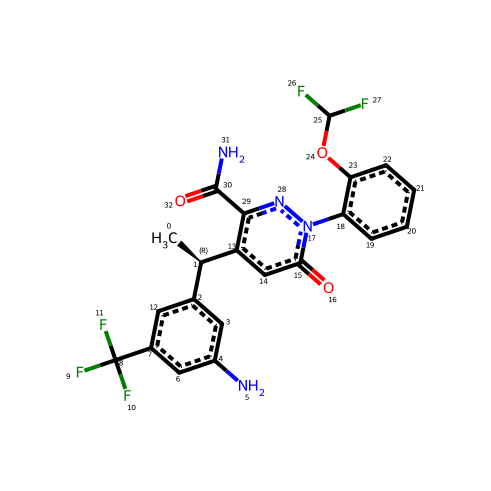 C[C@H](c1cc(N)cc(C(F)(F)F)c1)c1cc(=O)n(-c2ccccc2OC(F)F)nc1C(N)=O